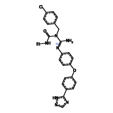 CCNC(=O)N(Cc1ccc(Cl)cc1)/C(N)=N/c1ccc(Oc2ccc(-c3ncn[nH]3)cc2)cc1